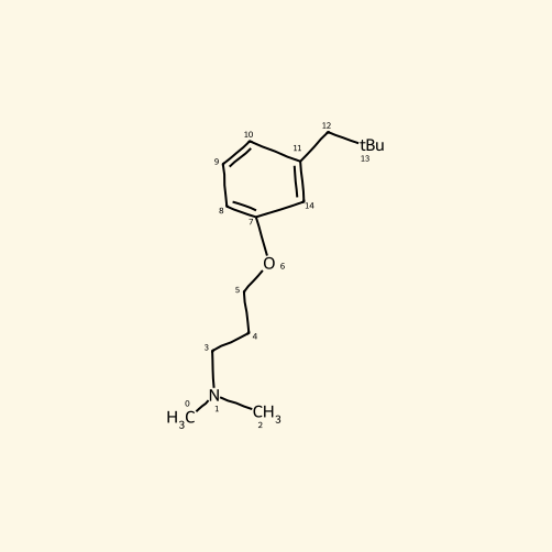 CN(C)CCCOc1cccc(CC(C)(C)C)c1